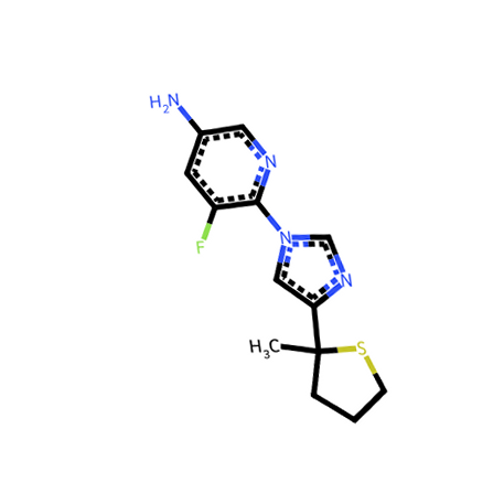 CC1(c2cn(-c3ncc(N)cc3F)cn2)CCCS1